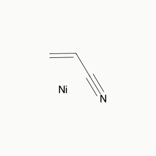 C=CC#N.[Ni]